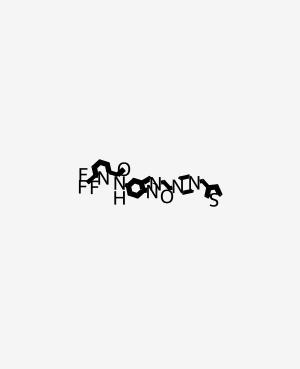 O=C(Nc1ccc2nn(CC(=O)N3CCN(Cc4ccsc4)CC3)cc2c1)c1cccc(C(F)(F)F)n1